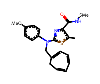 COc1ccc(N(CC2=CC=CC=CC2)c2nc(C(=O)NSC)c(C)s2)cc1